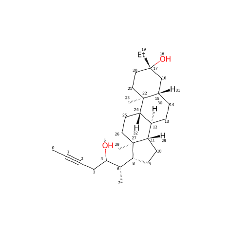 CC#CCC(O)[C@@H](C)[C@H]1CC[C@H]2[C@@H]3CC[C@H]4C[C@](O)(CC)CC[C@]4(C)[C@H]3CC[C@]12C